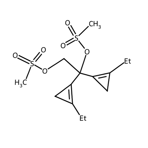 CCC1=C(C(COS(C)(=O)=O)(OS(C)(=O)=O)C2=C(CC)C2)C1